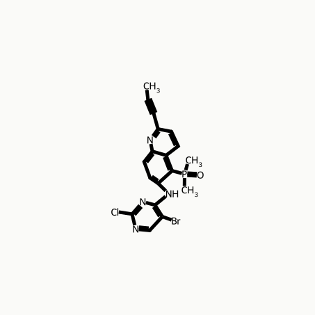 CC#Cc1ccc2c(P(C)(C)=O)c(Nc3nc(Cl)ncc3Br)ccc2n1